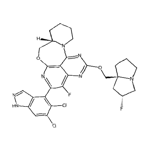 Fc1c(-c2c(Cl)c(Cl)cc3[nH]ncc23)nc2c3c(nc(OC[C@@]45CCCN4C[C@H](F)C5)nc13)N1CCCC[C@H]1CO2